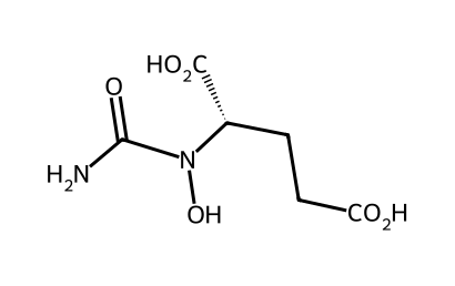 NC(=O)N(O)[C@@H](CCC(=O)O)C(=O)O